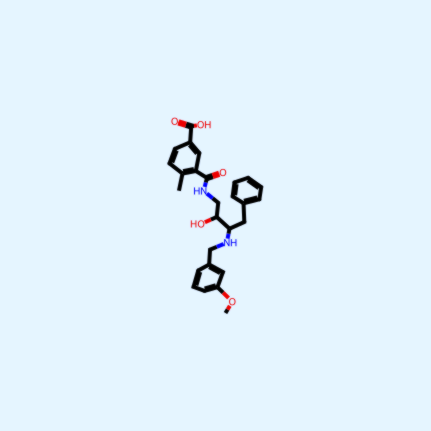 COc1cccc(CNC(Cc2ccccc2)C(O)CNC(=O)c2cc(C(=O)O)ccc2C)c1